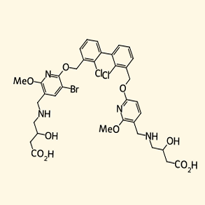 COc1nc(OCc2cccc(-c3cccc(COc4nc(OC)c(CNCC(O)CC(=O)O)cc4Br)c3Cl)c2Cl)ccc1CNCC(O)CC(=O)O